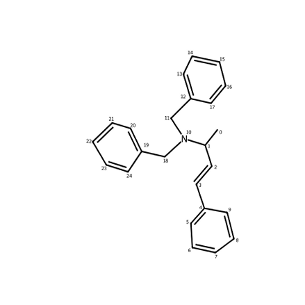 CC(C=Cc1ccccc1)N(Cc1ccccc1)Cc1ccccc1